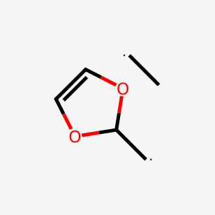 [CH2]C.[CH2]C1OC=CO1